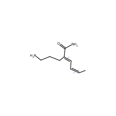 C/C=C\C=C(/CCCN)C(N)=O